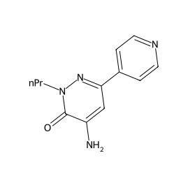 CCCn1nc(-c2ccncc2)cc(N)c1=O